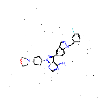 Nc1ncnc2c1c(-c1ccc3c(cnn3Cc3cccc(F)c3)c1)nn2[C@H]1CC[C@H](N2CCOCC2)CC1